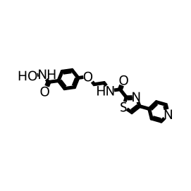 O=C(NO)c1ccc(OCCNC(=O)c2nc(-c3ccncc3)cs2)cc1